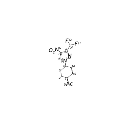 CC(=O)C1CCC(n2cc([N+](=O)[O-])c(C(F)F)n2)CC1